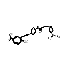 Cc1ccc(C(=O)O)cc1C#Cc1ccc(NC(=O)CN2CCC(N(C)C)C2)nc1